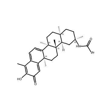 CC1=C(O)C(=O)C=C2C1=CC=C1[C@@]2(C)CC[C@@]2(C)[C@@H]3C[C@](C)(NC(=O)C(C)C)CC[C@]3(C)CC[C@]12C